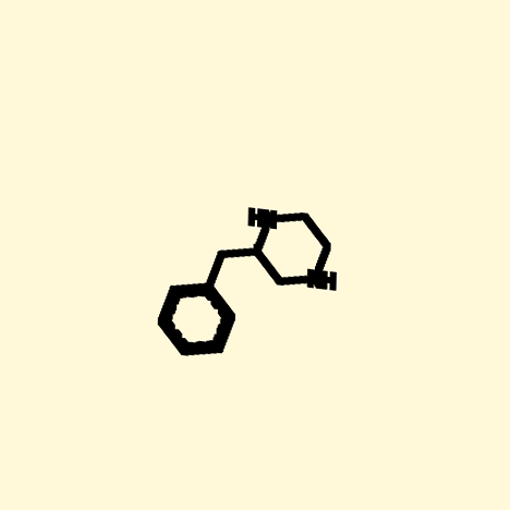 c1ccc(C[C]2CNCCN2)cc1